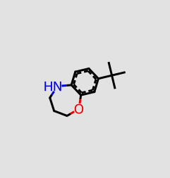 CC(C)(C)c1ccc2c(c1)OCCCN2